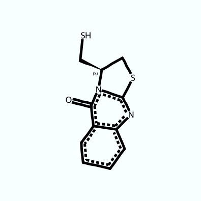 O=c1c2ccccc2nc2n1[C@@H](CS)CS2